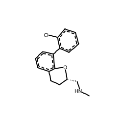 CNC[C@@H]1CCc2cccc(-c3ccccc3Cl)c2O1